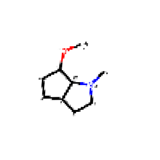 CC(C)OC1CCC2CCN(C)C21